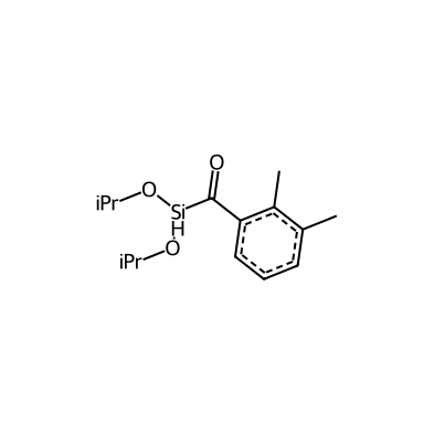 Cc1cccc(C(=O)[SiH](OC(C)C)OC(C)C)c1C